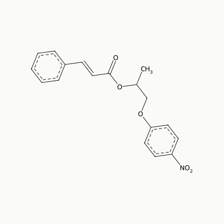 CC(COc1ccc([N+](=O)[O-])cc1)OC(=O)C=Cc1ccccc1